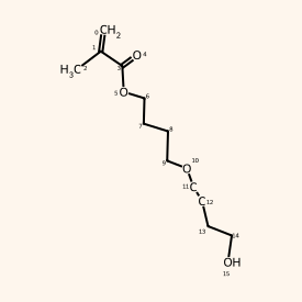 C=C(C)C(=O)OCCCCOCCCCO